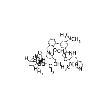 COc1c(CN2O[C@@H](CO)[C@H]([C@H](C)O)[C@H]2C(=O)N[C@H]2C[C@H]3C[C@@H]([C@@H]2C)C3(C)C)cccc1-c1cc(C(=O)N[C@@H](Cc2ccncc2)C(=O)N(C)C)cc(N(C)C)c1